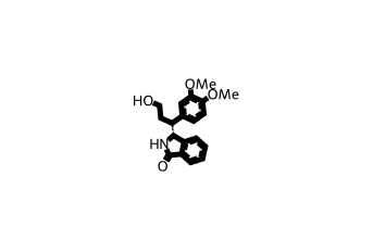 COc1ccc(C(CCO)[C@H]2NC(=O)c3ccccc32)cc1OC